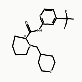 O=C(Nc1cc(C(F)(F)F)ccn1)[C@@H]1CCCCN1CC1CCOCC1